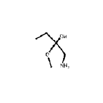 CCC(O)(CN)OC